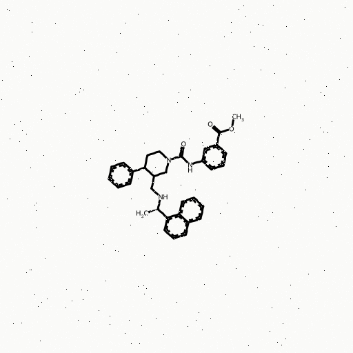 COC(=O)c1cccc(NC(=O)N2CCC(c3ccccc3)C(CN[C@H](C)c3cccc4ccccc34)C2)c1